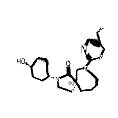 O=C1N([C@H]2CC[C@H](O)CC2)CC[C@]12CCCN(c1ncc(F)cn1)C2